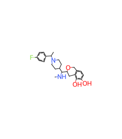 CNC(C1CCN(C(C)c2ccc(F)cc2)CC1)C1Cc2c(ccc(O)c2O)CO1